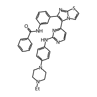 CCN1CCN(c2ccc(Nc3nccc(-c4c(-c5cccc(NC(=O)c6ccccc6)c5)nc5sccn45)n3)cc2)CC1